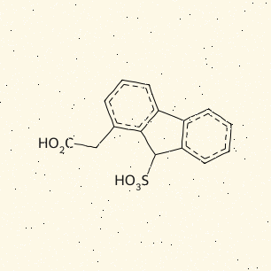 O=C(O)Cc1cccc2c1C(S(=O)(=O)O)c1ccccc1-2